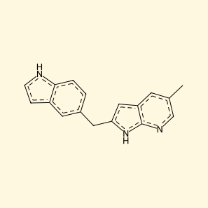 Cc1cnc2[nH]c(Cc3ccc4[nH]ccc4c3)cc2c1